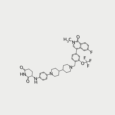 Cn1cc(-c2ccc(CN3CCC(C4CCN(c5ccc(NC6CCC(=O)NC6=O)cc5)CC4)CC3)c(OC(F)(F)F)c2)c2cc(F)ccc2c1=O